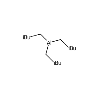 CCC(C)[CH2][Al]([CH2]C(C)CC)[CH2]C(C)CC